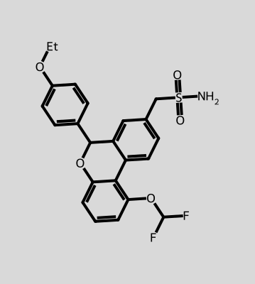 CCOc1ccc(C2Oc3cccc(OC(F)F)c3-c3ccc(CS(N)(=O)=O)cc32)cc1